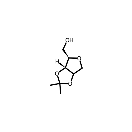 CC1(C)OC2CO[C@H](CO)[C@H]2O1